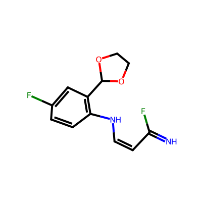 N=C(F)/C=C\Nc1ccc(F)cc1C1OCCO1